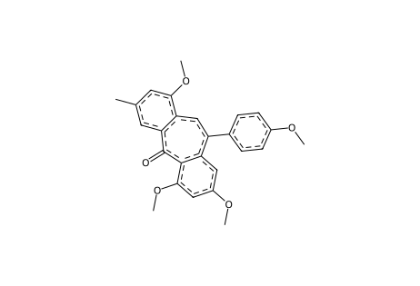 COc1ccc(-c2cc3c(OC)cc(C)cc3c(=O)c3c(OC)cc(OC)cc23)cc1